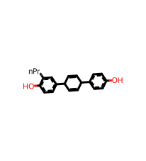 CCCc1cc(C2C=CC(c3ccc(O)cc3)C=C2)ccc1O